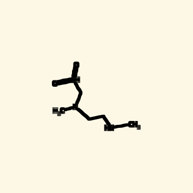 CNCCN(C)C[SH](=O)=O